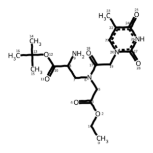 CCOC(=O)CN(CC(N)C(=O)OC(C)(C)C)C(=O)Cn1cc(C)c(=O)[nH]c1=O